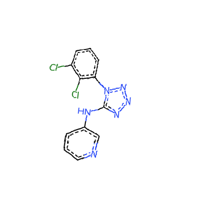 Clc1cccc(-n2nnnc2Nc2cccnc2)c1Cl